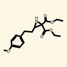 CCOC(=O)C1(C(=O)OCC)NC1CCc1ccc(OC)cc1